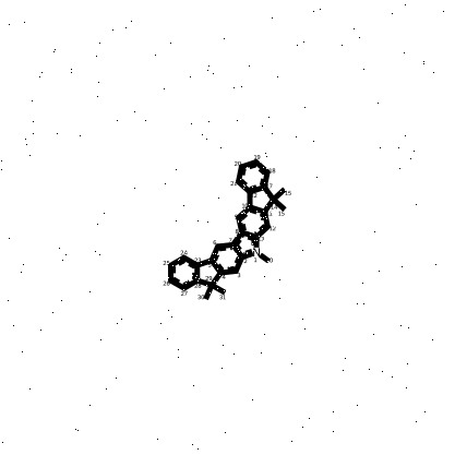 Cn1c2cc3c(cc2c2cc4c(cc21)C(C)(C)c1ccccc1-4)-c1ccccc1C3(C)C